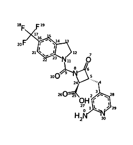 Nc1cc(C[C@H]2C(=O)N(C(=O)N3CCc4cc(C(F)(F)F)ccc43)[C@@H]2C(=O)O)ccn1